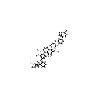 Cc1cc(Nc2ncc(Cl)c(Nc3ccccc3S(=O)(=O)C(C)C)n2)c(OC(C)C)cc1C1CCN(Cc2ccnc(C3CCC(=O)NC3=O)c2)CC1